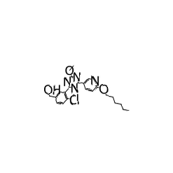 CCCCCCOc1ccc(-c2nc(OC)nc(-c3cc(CO)ccc3Cl)n2)cn1